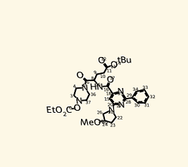 CCOC(=O)ON1CCN(C(=O)C(CCC(=O)OC(C)(C)C)NC(=O)c2cc(N3CC[C@@H](OC)C3)nc(-c3ccccc3)n2)CC1